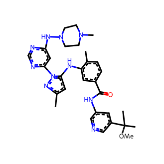 COC(C)(C)c1cncc(NC(=O)c2ccc(C)c(Nc3cc(C)nn3-c3cc(NN4CCN(C)CC4)ncn3)c2)c1